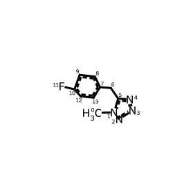 Cn1nnnc1Cc1ccc(F)cc1